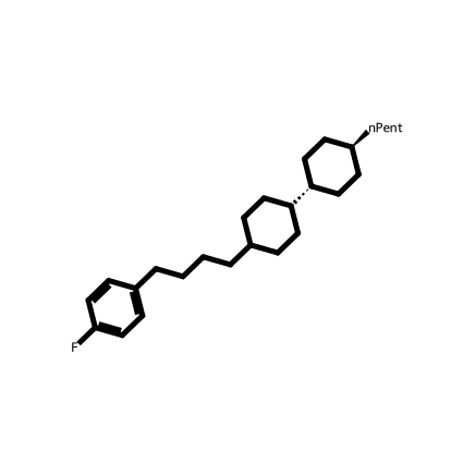 CCCCC[C@H]1CC[C@H](C2CCC(CCCCc3ccc(F)cc3)CC2)CC1